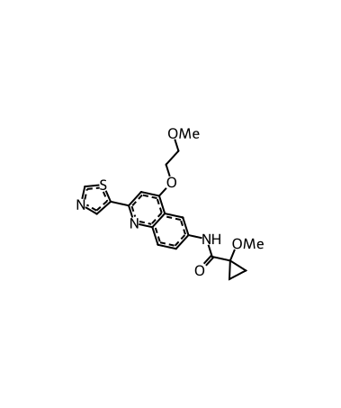 COCCOc1cc(-c2cncs2)nc2ccc(NC(=O)C3(OC)CC3)cc12